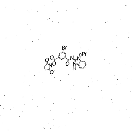 CCCn1/c(=N/C(=O)c2cc(Br)cc(C(=O)ON3C(=O)CCC3=O)c2)[nH]c2ccccc21